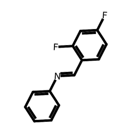 Fc1ccc(C=Nc2ccccc2)c(F)c1